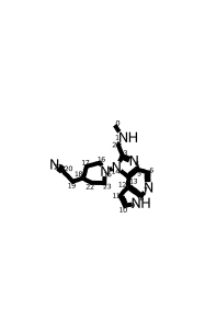 CNCc1nc2cnc3[nH]ccc3c2n1N1CCC(CC#N)CC1